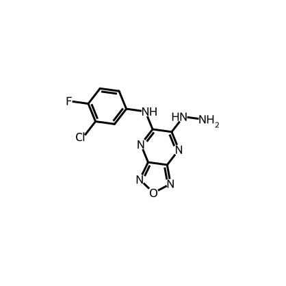 NNc1nc2nonc2nc1Nc1ccc(F)c(Cl)c1